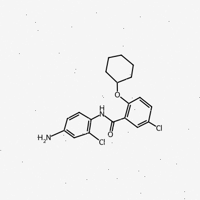 Nc1ccc(NC(=O)c2cc(Cl)ccc2OC2CCCCC2)c(Cl)c1